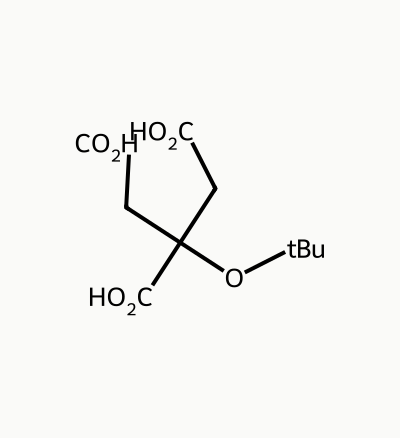 CC(C)(C)OC(CC(=O)O)(CC(=O)O)C(=O)O